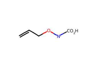 C=CCO[N]C(=O)O